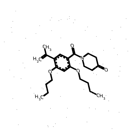 C=C(C)c1cc(C(=O)N2CCC(=O)CC2)c(OCCCC)cc1OCCCC